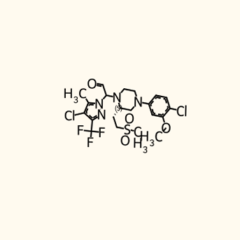 COc1cc(N2CCN(C(C=O)n3nc(C(F)(F)F)c(Cl)c3C)[C@@H](CCS(C)(=O)=O)C2)ccc1Cl